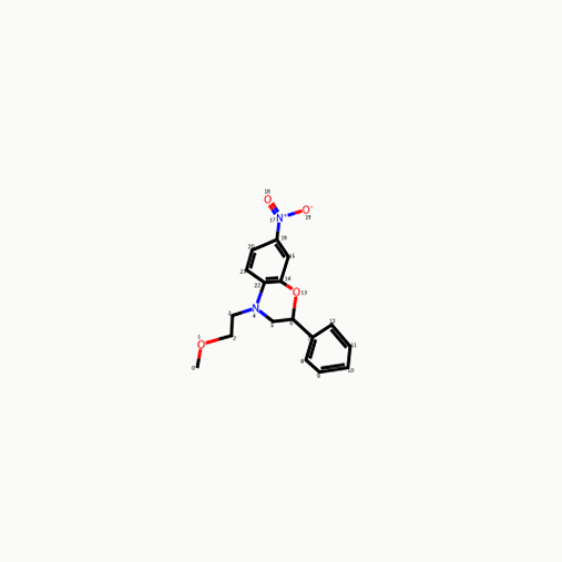 COCCN1CC(c2ccccc2)Oc2cc([N+](=O)[O-])ccc21